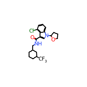 O=C(NCC1CCCC(C(F)(F)F)C1)c1cn(C2CCCO2)c2cccc(Cl)c12